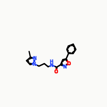 Cc1ccn(CCCNC(=O)c2cc(-c3ccccc3)on2)n1